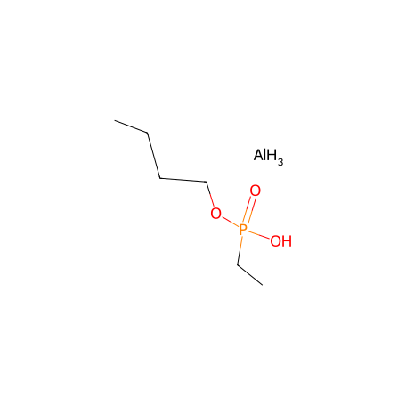 CCCCOP(=O)(O)CC.[AlH3]